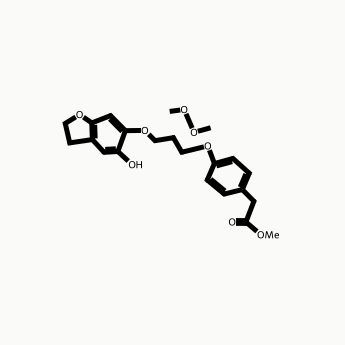 COC(=O)Cc1ccc(OCCCOc2cc3c(cc2O)CCO3)cc1.COOC